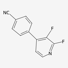 N#Cc1ccc(-c2ccnc(F)c2F)cc1